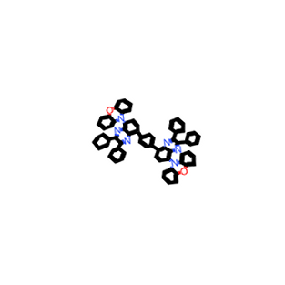 c1ccc(-c2nc3c(-c4ccc(-c5ccc(N6c7ccccc7Oc7ccccc76)c6nc(-c7ccccc7)c(-c7ccccc7)nc56)cc4)ccc(N4c5ccccc5Oc5ccccc54)c3nc2-c2ccccc2)cc1